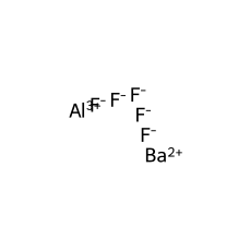 [Al+3].[Ba+2].[F-].[F-].[F-].[F-].[F-]